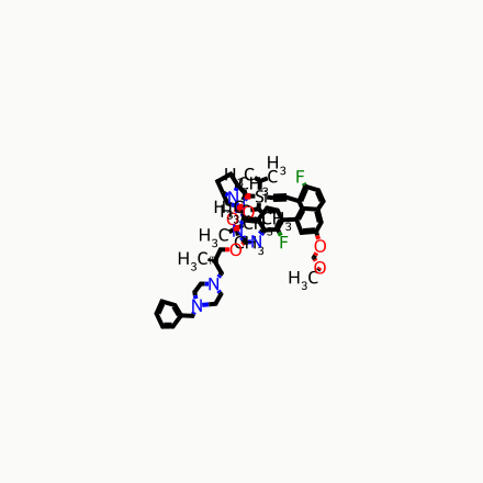 COCOc1cc(-c2ccc3c(N4CC5CCC(C4)N5C(=O)OC(C)(C)C)nc(OC[C@H](C)CN4CCN(Cc5ccccc5)CC4)nc3c2F)c2c(C#C[Si](C(C)C)(C(C)C)C(C)C)c(F)ccc2c1